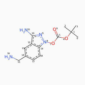 CC(C)(C)OC(=O)On1nc(N)c2cc(CN)ccc21